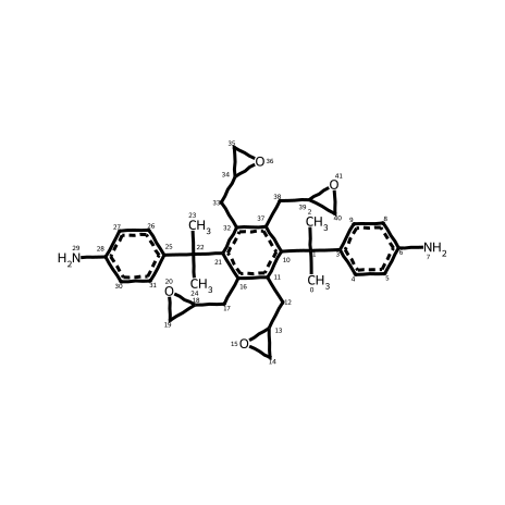 CC(C)(c1ccc(N)cc1)c1c(CC2CO2)c(CC2CO2)c(C(C)(C)c2ccc(N)cc2)c(CC2CO2)c1CC1CO1